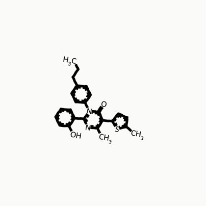 CCCc1ccc(-n2c(-c3ccccc3O)nc(C)c(-c3ccc(C)s3)c2=O)cc1